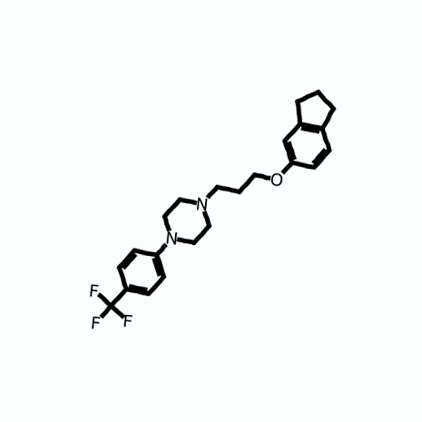 FC(F)(F)c1ccc(N2CCN(CCCOc3ccc4c(c3)CCC4)CC2)cc1